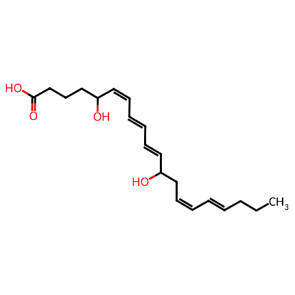 CCC/C=C/C=C\CC(O)/C=C/C=C/C=C\C(O)CCCC(=O)O